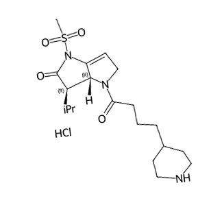 CC(C)[C@H]1C(=O)N(S(C)(=O)=O)C2=CCN(C(=O)CCCC3CCNCC3)[C@@H]21.Cl